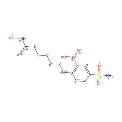 NS(=O)(=O)c1ccc(NCCCCCC(=O)NO)c([N+](=O)[O-])c1